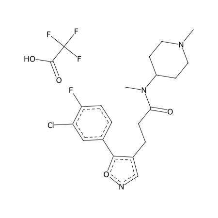 CN1CCC(N(C)C(=O)CCc2cnoc2-c2ccc(F)c(Cl)c2)CC1.O=C(O)C(F)(F)F